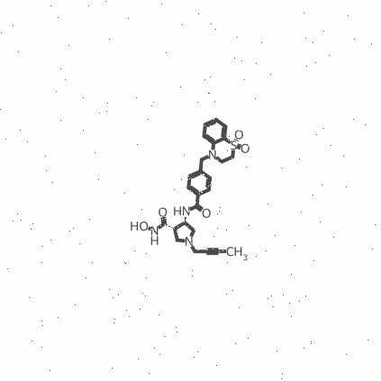 CC#CCN1C[C@H](C(=O)NO)[C@H](NC(=O)c2ccc(CN3CCS(=O)(=O)c4ccccc43)cc2)C1